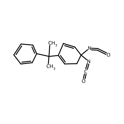 CC(C)(C1=CCC(N=C=O)(N=C=O)C=C1)c1ccccc1